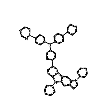 c1ccc(-n2ccc3cc4c(cc32)c2cc(-c3ccc(N(c5ccc(-c6ccncc6)cc5)c5ccc(-c6ccccn6)cc5)cc3)ccc2n4-c2ccccc2)cc1